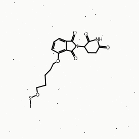 O=C1CCC(N2C(=O)c3cccc(OCCCCCOSI)c3C2=O)C(=O)N1